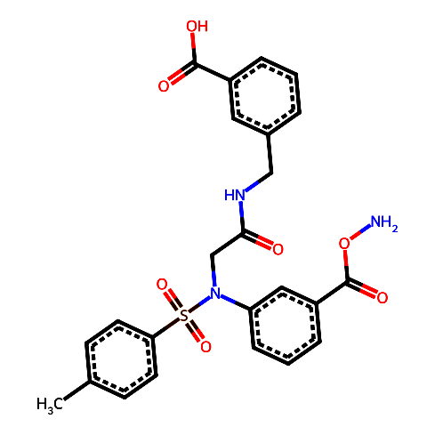 Cc1ccc(S(=O)(=O)N(CC(=O)NCc2cccc(C(=O)O)c2)c2cccc(C(=O)ON)c2)cc1